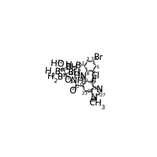 Bc1cc(Br)cc(Cl)c1Nc1c(C(=O)NOC(B)(B)C(B)(B)O)cc2c(ncn2C)c1F